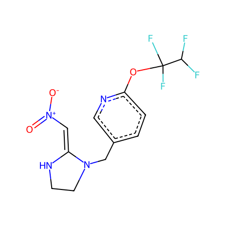 O=[N+]([O-])C=C1NCCN1Cc1ccc(OC(F)(F)C(F)F)nc1